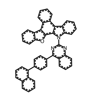 c1ccc2c(-c3ccc(-c4nc(-n5c6ccccc6c6c7ccccc7c7c8ccccc8oc7c65)nc5ccccc45)cc3)cccc2c1